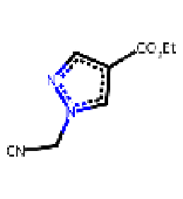 [C-]#[N+]Cn1cc(C(=O)OCC)cn1